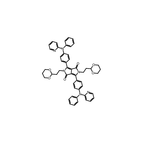 O=C1C2=C(c3ccc(N(c4ccccc4)c4ccccn4)cc3)N(CCC3OCCCO3)C(=O)C2=C(c2ccc(N(c3ccccc3)c3ccccn3)cc2)N1CCC1OCCCO1